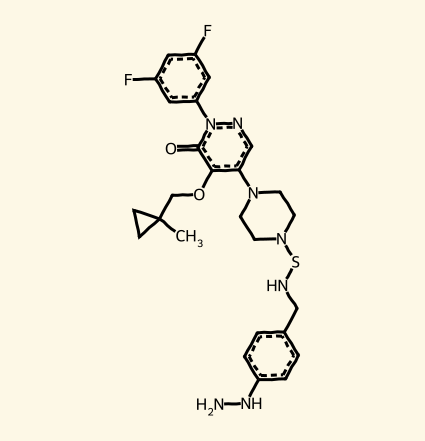 CC1(COc2c(N3CCN(SNCc4ccc(NN)cc4)CC3)cnn(-c3cc(F)cc(F)c3)c2=O)CC1